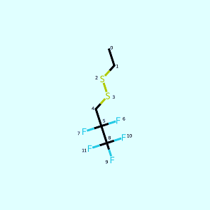 CCSSCC(F)(F)C(F)(F)F